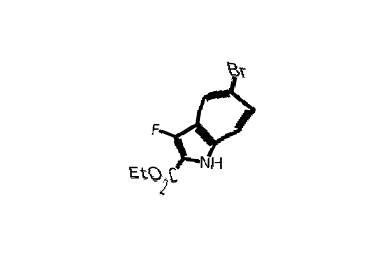 CCOC(=O)c1[nH]c2ccc(Br)cc2c1F